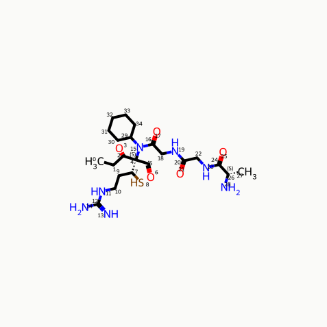 CCC(=O)[C@@]([C]=O)(C(S)CCNC(=N)N)N(C(=O)CNC(=O)CNC(=O)[C@H](C)N)C1CCCCC1